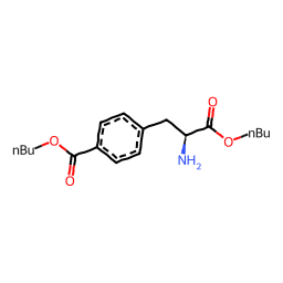 CCCCOC(=O)c1ccc(C[C@H](N)C(=O)OCCCC)cc1